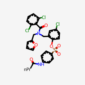 CCCC(=O)Nc1ccc(S(=O)(=O)Oc2ccc(Cl)cc2CN(Cc2ccco2)C(=O)c2c(Cl)cccc2Cl)cc1